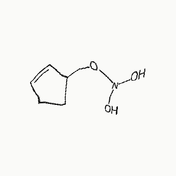 ON(O)OC1C=CCC1